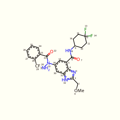 COCc1nc2c(C(=O)NC3CCC(F)(F)CC3)cc(N(N)C(=O)c3ccccc3C(F)(F)F)cc2[nH]1